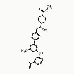 COC(=O)C1CCC(C(O)Cc2ccc(-c3cc(C)cc(Nc4cc(C(F)F)ccn4)n3)cn2)CC1